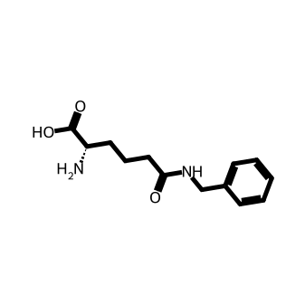 N[C@@H](CCCC(=O)NCc1ccccc1)C(=O)O